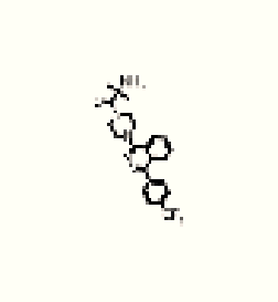 CC(C)(N)C(=O)N1CCN(c2nnc(-c3ccc(C(F)(F)F)cc3)c3ccccc23)CC1